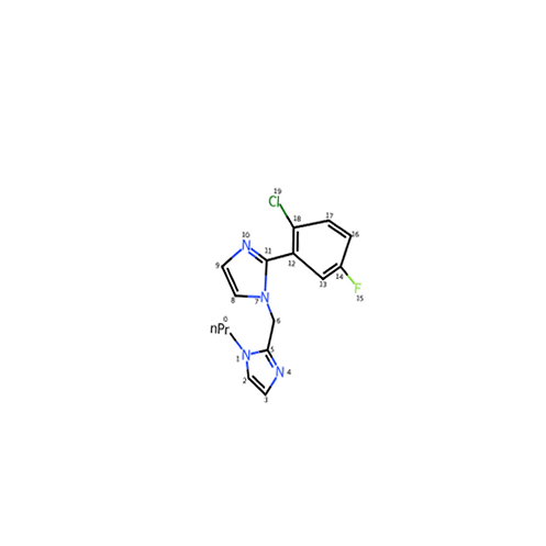 CCCn1ccnc1Cn1ccnc1-c1cc(F)ccc1Cl